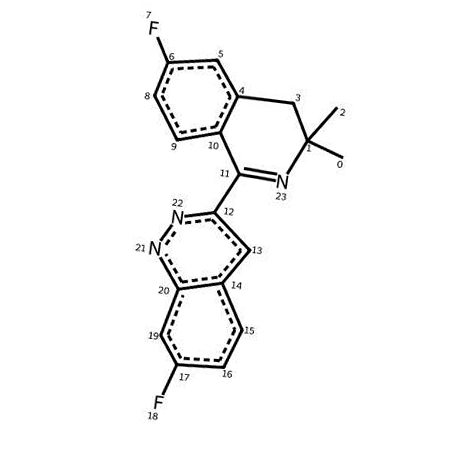 CC1(C)Cc2cc(F)ccc2C(c2cc3ccc(F)cc3nn2)=N1